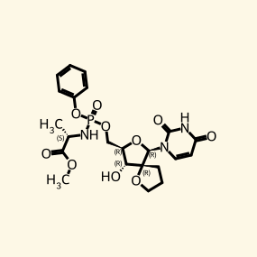 COC(=O)[C@H](C)NP(=O)(OC[C@H]1O[C@@H](n2ccc(=O)[nH]c2=O)[C@@]2(CCCO2)[C@@H]1O)Oc1ccccc1